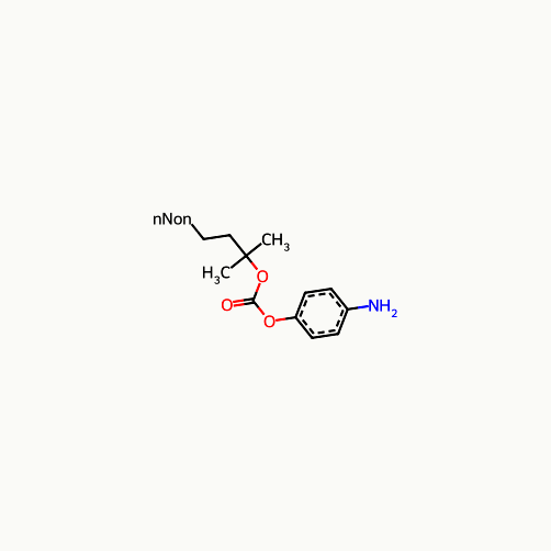 CCCCCCCCCCCC(C)(C)OC(=O)Oc1ccc(N)cc1